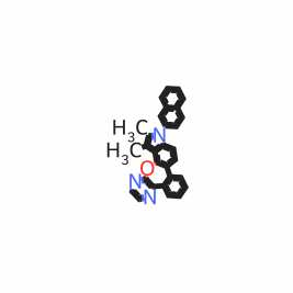 Cc1c(C)n(-c2ccc3ccccc3c2)c2ccc3c(c12)Oc1nccnc1-c1ccccc1-3